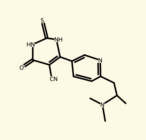 CC(Cc1ccc(-c2[nH]c(=S)[nH]c(=O)c2C#N)cn1)N(C)C